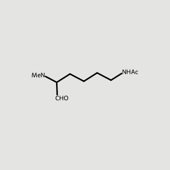 [13CH3]NC(C=O)CCCCNC([13CH3])=O